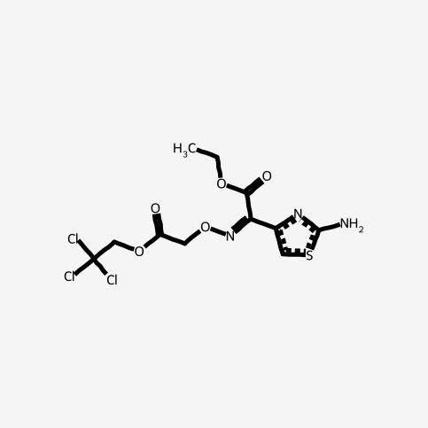 CCOC(=O)C(=NOCC(=O)OCC(Cl)(Cl)Cl)c1csc(N)n1